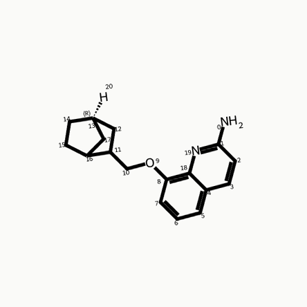 Nc1ccc2cccc(OCC3C[C@@H]4CCC3C4)c2n1